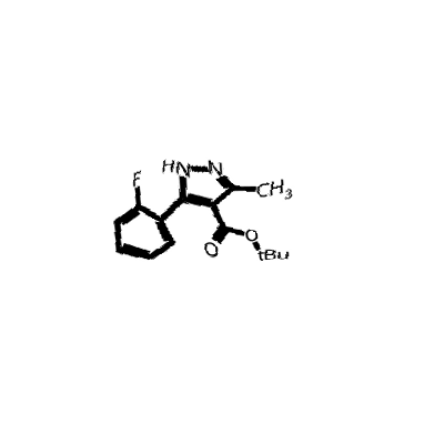 Cc1n[nH]c(-c2ccccc2F)c1C(=O)OC(C)(C)C